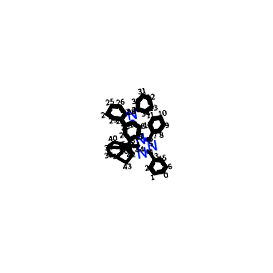 c1ccc(-c2nc(-c3ccccc3)nc(C3(c4ccc5c(c4)c4ccccc4n5-c4ccccc4)C4CC5CC(C4)CC3C5)n2)cc1